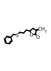 C=C1CC(CCCSCc2ccccc2)OC1=O